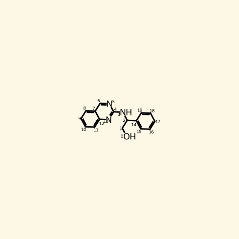 OCC(Nc1ncc2ccccc2n1)c1ccccc1